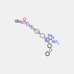 CC(C)(C)OC(=O)N1CC(N2CC(N3CCN(C4CCC(n5nc(-c6ccc(Oc7ccccc7)cc6)c6c(N)ncnc65)CC4)CC3)C2)C1